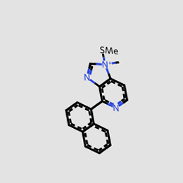 CS[N+]1(C)C=Nc2c1ccnc2-c1cccc2ccccc12